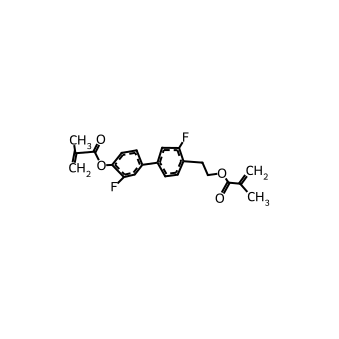 C=C(C)C(=O)OCCc1ccc(-c2ccc(OC(=O)C(=C)C)c(F)c2)cc1F